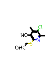 Cc1nc(SCC=O)c(C#N)c(C)c1Cl